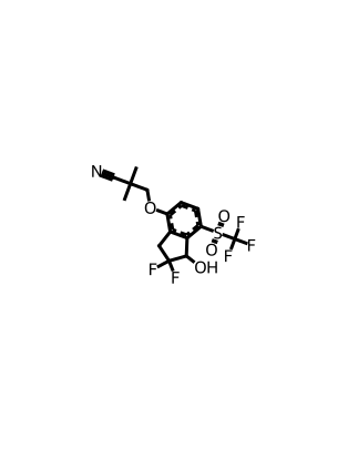 CC(C)(C#N)COc1ccc(S(=O)(=O)C(F)(F)F)c2c1CC(F)(F)C2O